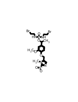 COc1cc(C(C)OP(=O)(NCCBr)NCCBr)ccc1OCc1cnc([N+](=O)[O-])n1C